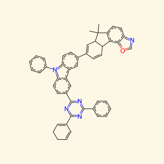 CC1(C)c2ccc3ncoc3c2C2C=CC(c3ccc4c(c3)c3cc(-c5nc(C6=CCCC=C6)nc(-c6ccccc6)n5)ccc3n4-c3ccccc3)=CC21